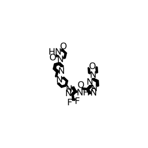 O=C1CCN(c2ccc(CN3CCC(n4cc(NC(=O)c5cnn6ccc(N7CCOCC7)nc56)c(C(F)F)n4)CC3)nc2)C(=O)N1